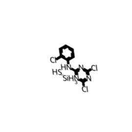 Clc1nc(Cl)nc(Nc2ccccc2Cl)n1.[SiH3]S